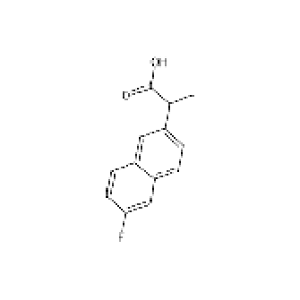 CC(C(=O)O)c1ccc2cc(F)ccc2c1